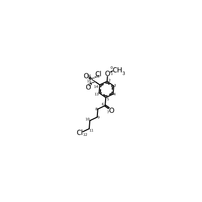 COc1ccc(C(=O)CCCCCl)cc1S(=O)(=O)Cl